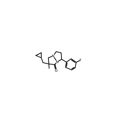 CC1(CC2CC2)CN2CCC(c3cccc(F)c3)N2C1=O